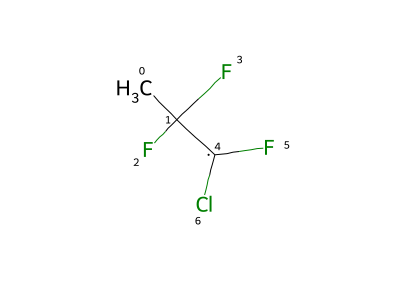 CC(F)(F)[C](F)Cl